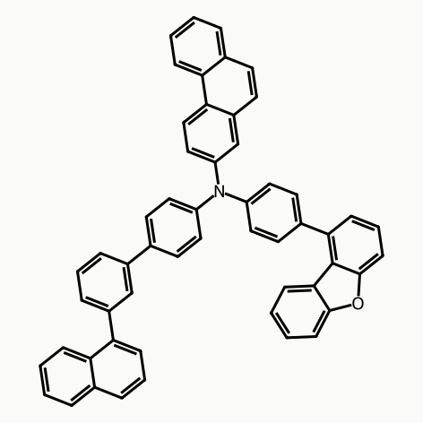 c1cc(-c2ccc(N(c3ccc(-c4cccc5oc6ccccc6c45)cc3)c3ccc4c(ccc5ccccc54)c3)cc2)cc(-c2cccc3ccccc23)c1